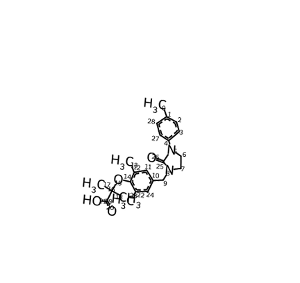 Cc1ccc(N2CCN(Cc3cc(C)c(OC(C)(C)C(=O)O)c(C)c3)C2=O)cc1